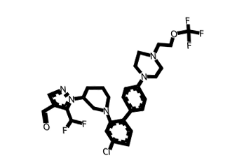 O=Cc1cnn(C2CCCN(c3cc(Cl)ccc3-c3ccc(N4CCN(CCOC(F)(F)F)CC4)cc3)C2)c1C(F)F